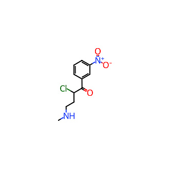 CNCCC(Cl)C(=O)c1cccc([N+](=O)[O-])c1